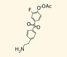 CC(=O)OOc1ccc(S(=O)(=O)c2ccc(CCN)cc2)cc1F